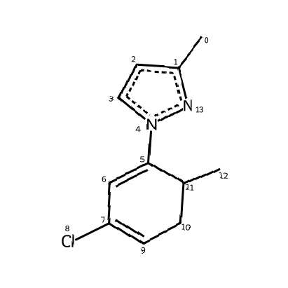 Cc1ccn(C2=CC(Cl)=CCC2C)n1